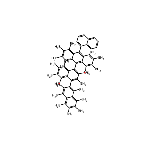 Bc1c(B)c(B)c2c(B)c(-c3c(B)c(B)c(-c4c5c(B)c(B)c(B)c(B)c5c(-c5cccc6ccccc56)c5c(B)c(B)c(B)c(B)c45)c4c(B)c(B)c(B)c(B)c34)c(B)c(B)c2c1B